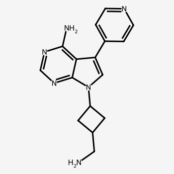 NCC1CC(n2cc(-c3ccncc3)c3c(N)ncnc32)C1